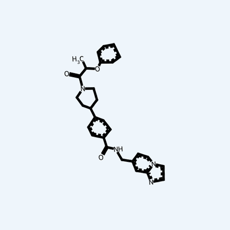 CC(Oc1ccccc1)C(=O)N1CCC(c2ccc(C(=O)NCc3ccn4ccnc4c3)cc2)CC1